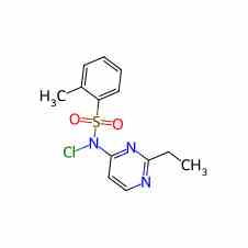 CCc1nccc(N(Cl)S(=O)(=O)c2ccccc2C)n1